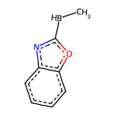 CBc1nc2ccccc2o1